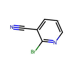 N#Cc1c[c]cnc1Br